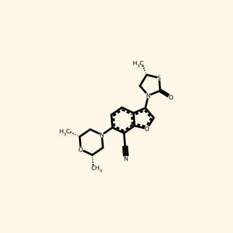 C[C@@H]1CN(c2ccc3c(N4C[C@H](C)SC4=O)coc3c2C#N)C[C@H](C)O1